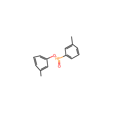 Cc1cccc(O[PH](=O)c2cccc(C)c2)c1